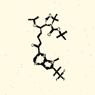 CC(C)O[C@H](CCCC(=O)c1cnc2cc(C(C)(C)C(F)(F)F)n(C)c2n1)[C@@H]1COC(C)(C)N1C(=O)OC(C)(C)C